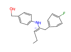 CC/C=C(\Cc1ccc(F)cc1)Nc1ccc(CO)cc1